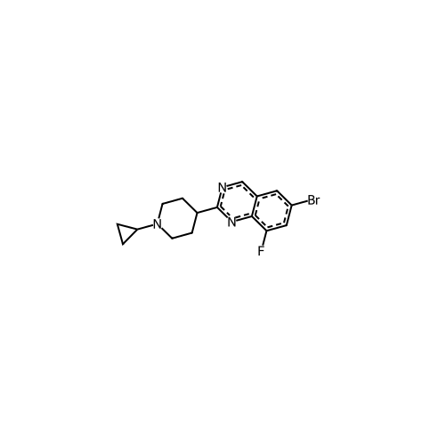 Fc1cc(Br)cc2cnc(C3CCN(C4CC4)CC3)nc12